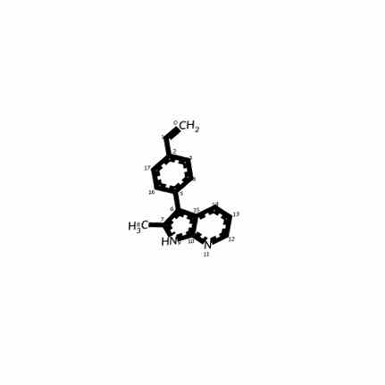 C=Cc1ccc(-c2c(C)[nH]c3ncccc23)cc1